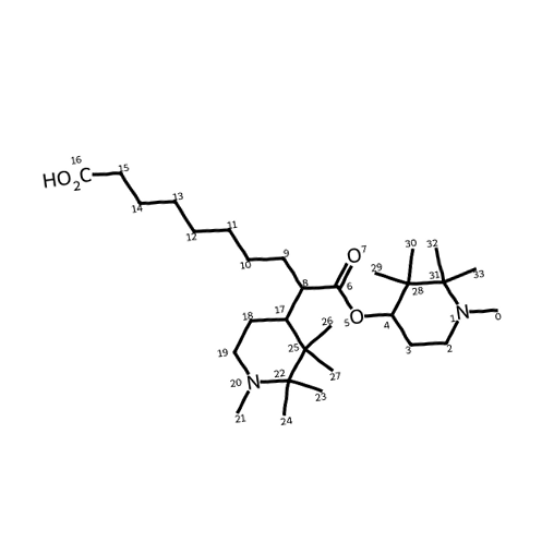 CN1CCC(OC(=O)C(CCCCCCCC(=O)O)C2CCN(C)C(C)(C)C2(C)C)C(C)(C)C1(C)C